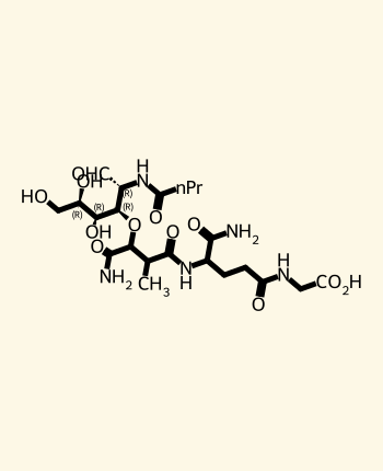 CCCC(=O)N[C@@H](C=O)[C@@H](OC(C(N)=O)C(C)C(=O)NC(CCC(=O)NCC(=O)O)C(N)=O)[C@H](O)[C@H](O)CO